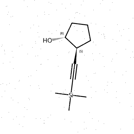 C[Si](C)(C)C#C[C@@H]1CCC[C@H]1O